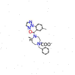 Cc1ccc(-n2nccn2)c(C(=O)N2CC[N+](Cc3ccccc3)(C(=O)[O-])CC[C@H]2C)c1